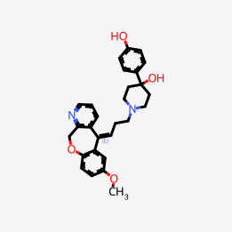 COc1ccc2c(c1)/C(=C/CCN1CCC(O)(c3ccc(O)cc3)CC1)c1cccnc1CO2